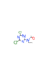 CCN([C]=O)c1nc(Cl)nc(Cl)n1